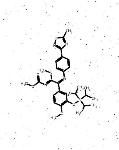 COC(=O)N=C(SC)C(=Nc1ccc(-c2noc(C)n2)cc1)c1ccc(OC)c(O[Si](C(C)C)(C(C)C)C(C)C)c1